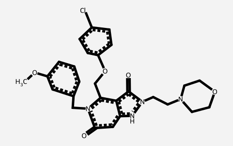 COc1cccc(Cn2c(COc3ccc(Cl)cc3)c3c(=O)n(CCN4CCOCC4)[nH]c3cc2=O)c1